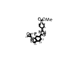 COC(=O)N1CCC(c2noc(-c3ccc4cnn(C5COC5)c4c3F)n2)CC1